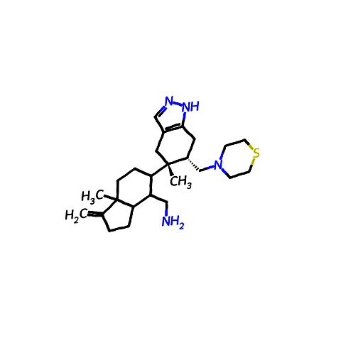 C=C1CCC2C(CN)C([C@]3(C)Cc4cn[nH]c4C[C@@H]3CN3CCSCC3)CCC12C